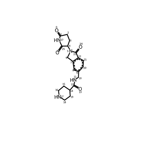 O=C1CCC(N2Cc3cc(CNC(=O)C4CCNCC4)ccc3C2=O)C(=O)N1